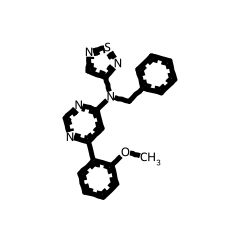 COc1ccccc1-c1cc(N(Cc2ccccc2)c2cnsn2)ncn1